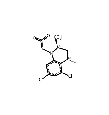 C[C@H]1C[C@H](C(=O)O)N(N=S(=O)=O)c2cc(Cl)cc(Cl)c21